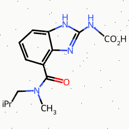 CC(C)CN(C)C(=O)c1cccc2[nH]c(NC(=O)O)nc12